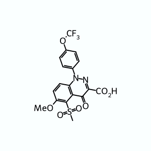 COc1ccc2c(c1S(C)(=O)=O)c(=O)c(C(=O)O)nn2-c1ccc(OC(F)(F)F)cc1